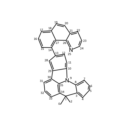 CC1(C)c2ccccc2-n2c3ccc(-c4cccc5ccc6cccnc6c45)cc3c3cccc1c32